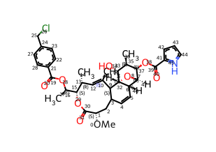 CO[C@H]1CC2C=C[C@H]3[C@H]4O[C@]2(/C(C)=C/[C@@H](C)[C@@H]([C@@H](C)OC(=O)c2ccc(CCl)cc2)OC1=O)[C@@H]3[C@H](O)[C@@H](C)[C@H]4OC(=O)c1ccc[nH]1